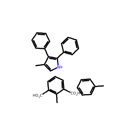 Cc1c(C(=O)O)cccc1C(=O)O.Cc1c[nH]c(-c2ccccc2)c1-c1ccccc1.Cc1ccccc1